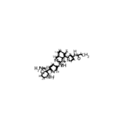 C=CC(=O)Nc1ccnc(-c2c(F)ccc3cnc(Nc4ccc([C@@]5(CN)CNCCO5)nc4)nc23)c1